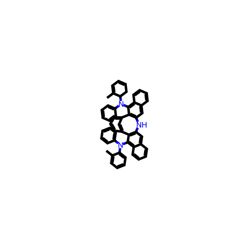 CC1=CC=CCC1N(c1ccccc1)c1c2c(cc3ccccc13)Nc1cc3ccccc3c(N(c3ccccc3)c3ccccc3C)c1-c1cccc-2c1